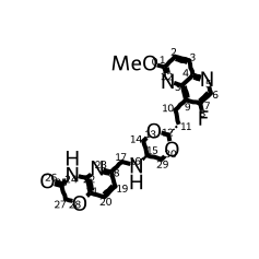 COc1ccc2ncc(F)c(CC[C@H]3OC[C@H](NCc4ccc5c(n4)NC(=O)CO5)CO3)c2n1